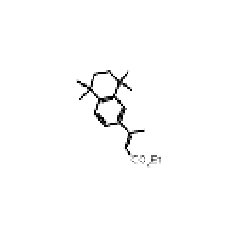 CCOC(=O)/C=C(\C)c1ccc2c(c1)C(C)(C)CCC2(C)C